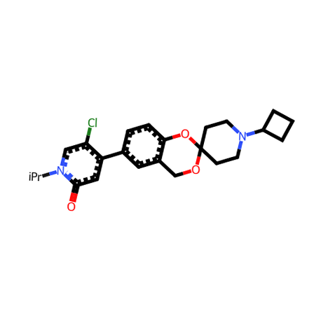 CC(C)n1cc(Cl)c(-c2ccc3c(c2)COC2(CCN(C4CCC4)CC2)O3)cc1=O